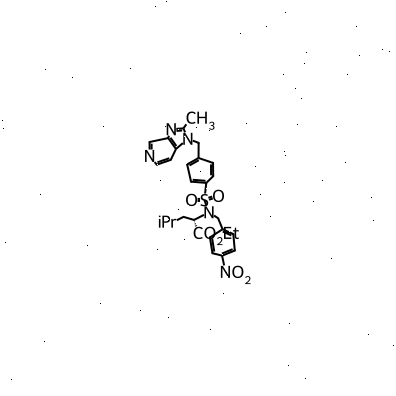 CCOC(=O)[C@H](CC(C)C)N(Cc1ccc([N+](=O)[O-])cc1)S(=O)(=O)c1ccc(Cn2c(C)nc3cnccc32)cc1